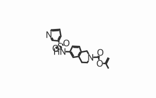 C=C(C)OC(=O)N1CCc2cc(NS(=O)(=O)c3cccnc3)ccc2C1